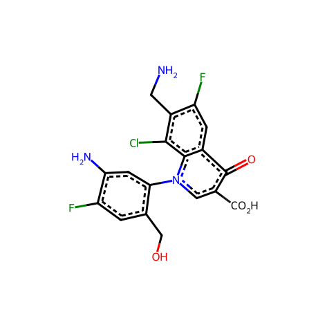 NCc1c(F)cc2c(=O)c(C(=O)O)cn(-c3cc(N)c(F)cc3CO)c2c1Cl